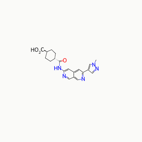 Cn1cc(-c2cc3cc(NC(=O)[C@H]4CC[C@H](C(=O)O)CC4)ncc3cn2)cn1